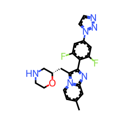 Cc1ccn2c(C[C@H]3CNCCO3)c(-c3c(F)cc(-n4ccnn4)cc3F)nc2c1